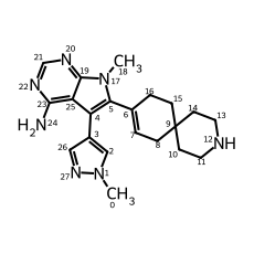 Cn1cc(-c2c(C3=CCC4(CCNCC4)CC3)n(C)c3ncnc(N)c23)cn1